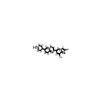 Cc1cn2cc(C3=CCN4C=C(C5CCNCC5)C=CC4=N3)cc(C)c2n1